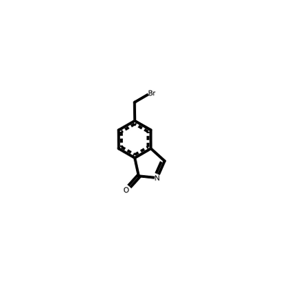 O=C1N=Cc2cc(CBr)ccc21